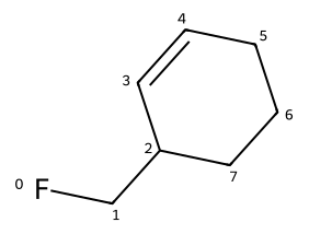 FCC1C=CCCC1